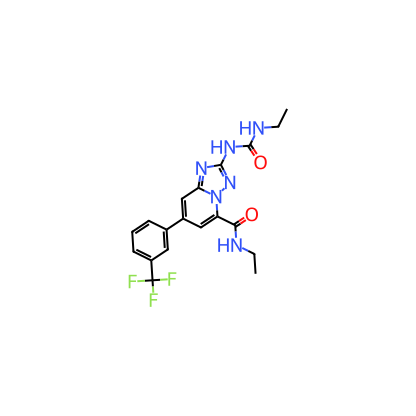 CCNC(=O)Nc1nc2cc(-c3cccc(C(F)(F)F)c3)cc(C(=O)NCC)n2n1